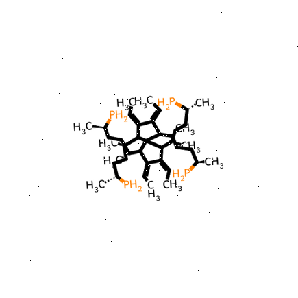 C/C=C1\C(=C/C)C([C@H](C)CC[C@@H](C)P)C2(C1[C@H](C)CC[C@@H](C)P)C([C@H](C)CC[C@@H](C)P)C(=C/C)/C(=C\C)C2[C@H](C)CC[C@@H](C)P